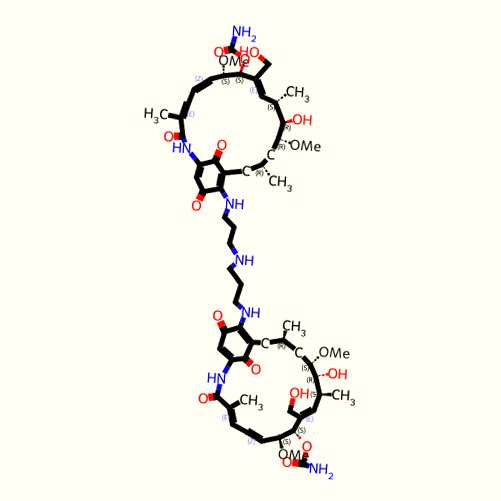 CO[C@H]1/C=C\C=C(/C)C(=O)NC2=CC(=O)C(NCCCNCCCNC3=C4C[C@@H](C)C[C@H](OC)[C@H](O)[C@@H](C)/C=C(\CO)[C@H](OC(N)=O)[C@@H](OC)/C=C\C=C(/C)C(=O)NC(=CC3=O)C4=O)=C(C[C@@H](C)C[C@@H](OC)[C@H](O)[C@@H](C)/C=C(\CO)[C@@H]1OC(N)=O)C2=O